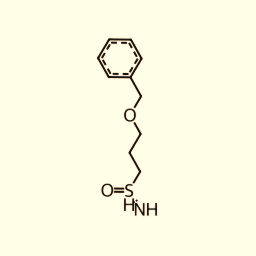 N=[SH](=O)CCCOCc1ccccc1